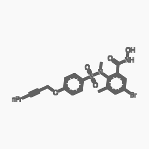 CCCC#CCOc1ccc(S(=O)(=O)N(C)c2c(C)cc(Br)cc2C(=O)NO)cc1